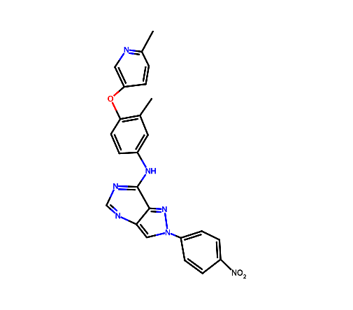 Cc1ccc(Oc2ccc(Nc3ncnc4cn(-c5ccc([N+](=O)[O-])cc5)nc34)cc2C)cn1